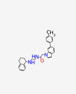 Cc1ccc(-c2ccc3ccn(CC(=O)NCCNC4CCCc5ccccc54)c3c2)cc1